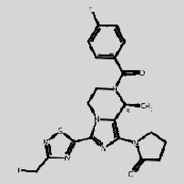 C[C@H]1c2c(N3CCCC3=O)nc(-c3nc(CF)ns3)n2CCN1C(=O)c1ccc(F)cc1